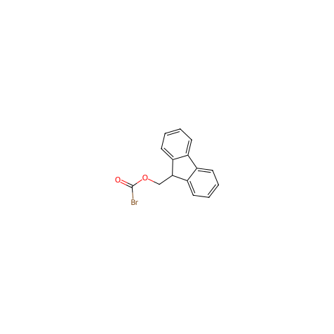 O=C(Br)OCC1c2ccccc2-c2ccccc21